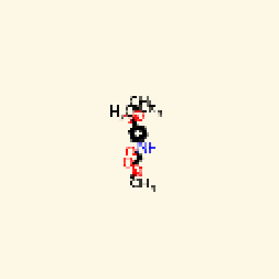 CCOC(=O)CC(=O)Nc1ccc(C(=O)OC(C)(C)C)cc1